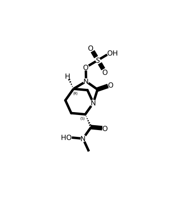 CN(O)C(=O)[C@@H]1CC[C@@H]2CN1C(=O)N2OS(=O)(=O)O